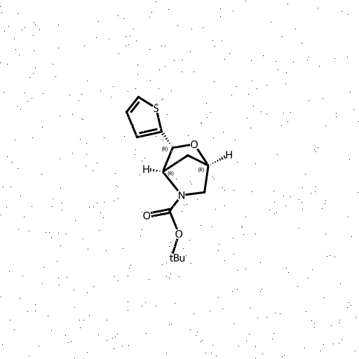 CC(C)(C)OC(=O)N1C[C@H]2C[C@@H]1[C@H](c1cccs1)O2